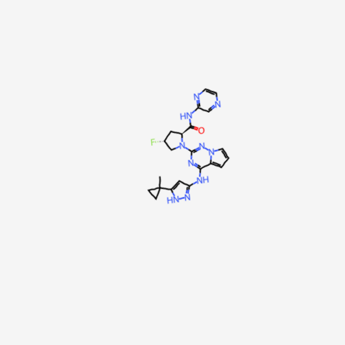 CC1(c2cc(Nc3nc(N4C[C@H](F)C[C@H]4C(=O)Nc4cnccn4)nn4cccc34)n[nH]2)CC1